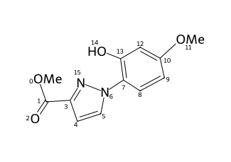 COC(=O)c1ccn(-c2ccc(OC)cc2O)n1